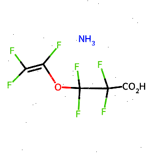 N.O=C(O)C(F)(F)C(F)(F)OC(F)=C(F)F